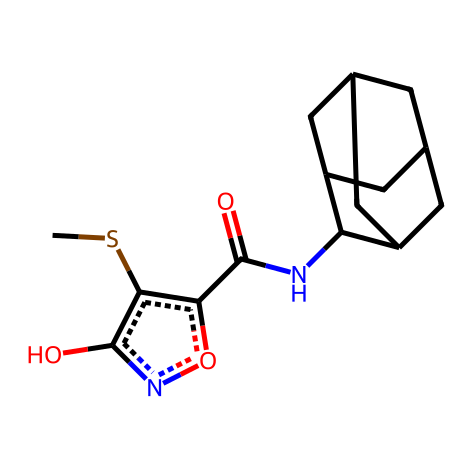 CSc1c(O)noc1C(=O)NC1C2CC3CC(C2)CC1C3